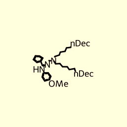 CCCCCCCCCCCCCCCCN(CCCCCCCCCCCCCCCC)CN=C(Nc1ccc(OC)cc1)c1ccccc1